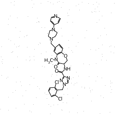 CN1C(=O)[C@H](NC(=O)c2ncn(Cc3c(Cl)cccc3Cl)n2)COc2ccc(CN3CCN(c4ccncc4)CC3)cc21